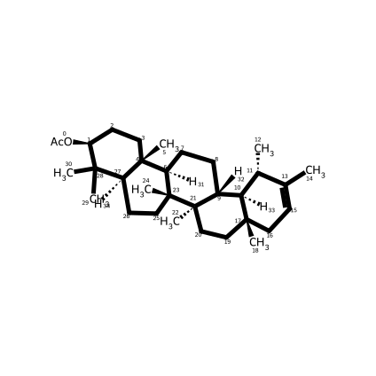 CC(=O)O[C@H]1CC[C@]2(C)[C@H]3CC[C@@H]4[C@H]5[C@H](C)C(C)=CC[C@]5(C)CC[C@@]4(C)[C@]3(C)CC[C@H]2C1(C)C